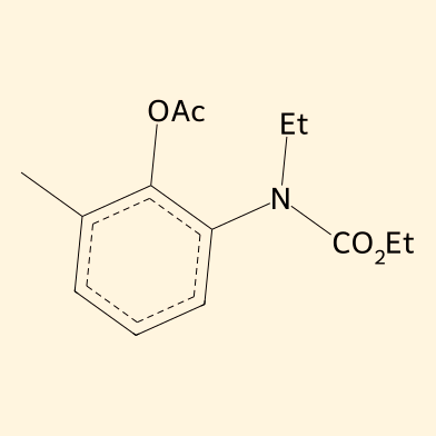 CCOC(=O)N(CC)c1cccc(C)c1OC(C)=O